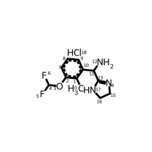 Cc1c(OC(F)F)cccc1C(N)C1=NCCN1.Cl